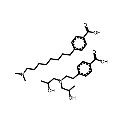 CC(O)CN(CCc1ccc(C(=O)O)cc1)CC(C)O.CN(C)CCCCCCCCc1ccc(C(=O)O)cc1